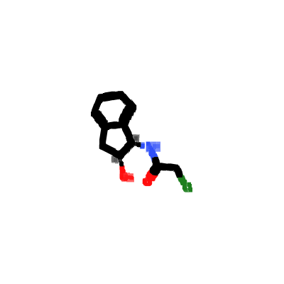 O=C(CCl)N[C@H]1c2ccccc2C[C@H]1O